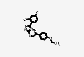 CCOc1ccc(C2=Nn3c(nnc3-c3ccc(Cl)cc3Cl)SC2)cc1